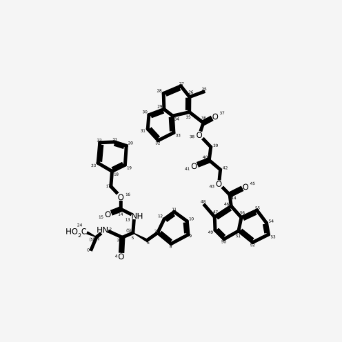 C[C@H](NC(=O)[C@H](Cc1ccccc1)NC(=O)OCc1ccccc1)C(=O)O.Cc1ccc2ccccc2c1C(=O)OCC(=O)COC(=O)c1c(C)ccc2ccccc12